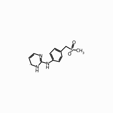 CS(=O)(=O)Cc1ccc(NC2=NC=C[CH]N2)cc1